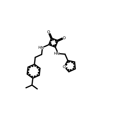 CC(C)c1ccc(CCNc2c(NCc3ccco3)c(=O)c2=O)cc1